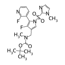 CN(Cc1cn(S(=O)(=O)c2nccn2C)c(-c2cccnc2F)c1F)C(=O)OC(C)(C)C